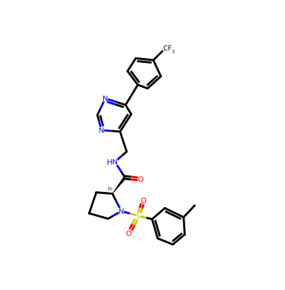 Cc1cccc(S(=O)(=O)N2CCC[C@H]2C(=O)NCc2cc(-c3ccc(C(F)(F)F)cc3)ncn2)c1